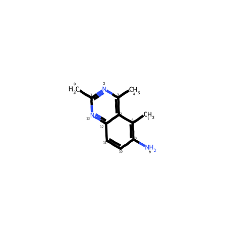 Cc1nc(C)c2c(C)c(N)ccc2n1